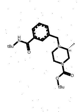 C[C@@H]1CN(C(=O)OC(C)(C)C)CCN1Cc1cccc(C(=O)NC(C)(C)C)c1